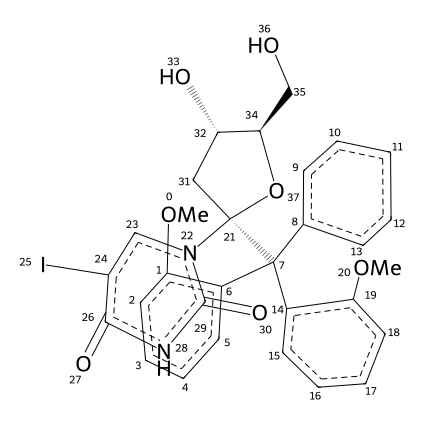 COc1ccccc1C(c1ccccc1)(c1ccccc1OC)[C@]1(n2cc(I)c(=O)[nH]c2=O)C[C@H](O)[C@@H](CO)O1